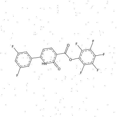 O=C(Oc1c(F)c(F)c(F)c(F)c1F)c1ccc(-c2cc(F)cc(F)c2)[nH]c1=O